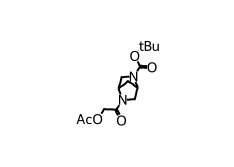 CC(=O)OCC(=O)N1CC2CC1CN2C(=O)OC(C)(C)C